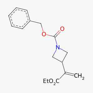 C=C(C(=O)OCC)C1CN(C(=O)OCc2ccccc2)C1